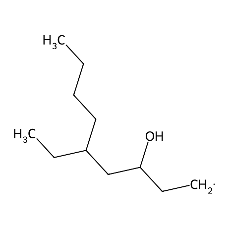 [CH2]CC(O)CC(CC)CCCC